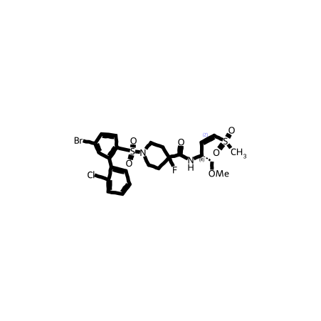 COC[C@@H](/C=C\S(C)(=O)=O)NC(=O)C1(F)CCN(S(=O)(=O)c2ccc(Br)cc2-c2ccccc2Cl)CC1